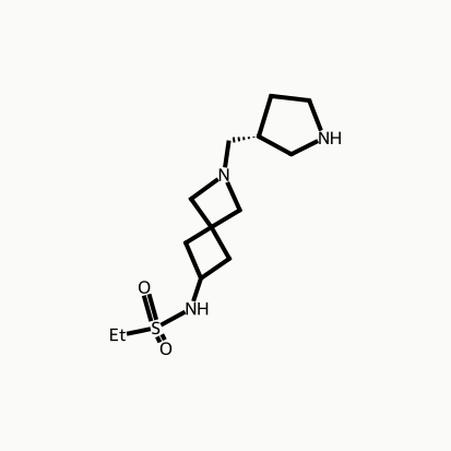 CCS(=O)(=O)NC1CC2(C1)CN(C[C@@H]1CCNC1)C2